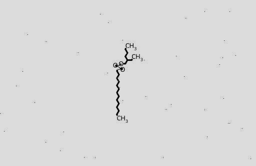 CCCCCCCCCCCCCCS(=O)(=O)OCC(CC)CCCC